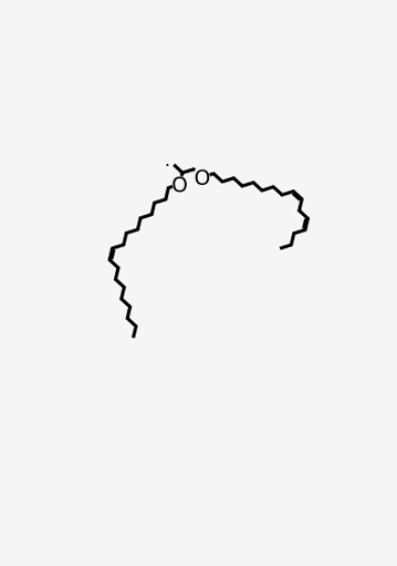 [CH2]C(COCCCCCCCC/C=C\C/C=C\CCC)OCCCCCCCC/C=C\CCCCCCCC